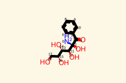 N[C@](O)(C(=O)c1ccccc1)[C@@H](O)[C@@H](O)[C@H](O)CO